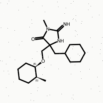 C[C@H]1CCCC[C@H]1OCC1(CC2CCCCC2)NC(=N)N(C)C1=O